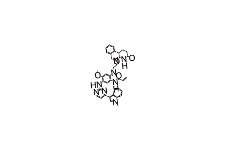 C=CC(=O)Nc1cc(Nc2nccc(-c3cn(C)c4ccccc34)n2)c(OC)cc1N(C)CCN(C)Cc1ccccc1C1CCC(=O)NC1=O